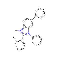 Cc1ccccc1-c1n(-c2ccccc2)c2cc(-c3ccccc3)ccc2[n+]1C